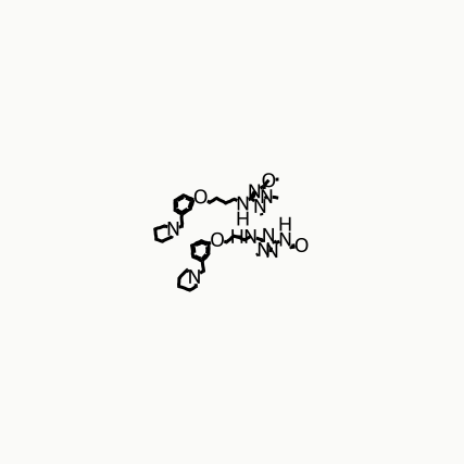 COC1N=C(NCCCCOc2cccc(CN3CCCCC3)c2)N(C)N1C.Cn1nc(NC=O)nc1NCCCOc1cccc(CN2CCCCC2)c1